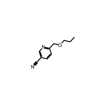 CCCOCc1ccc(C#N)cn1